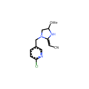 COC1CN(Cc2ccc(Cl)nc2)C(=CC#N)N1